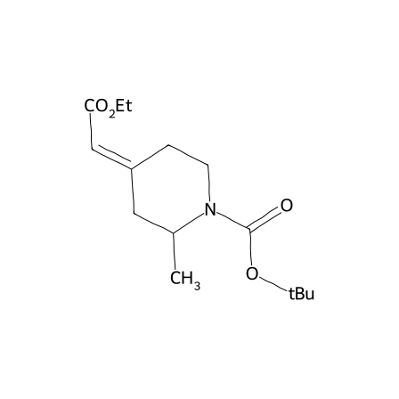 CCOC(=O)C=C1CCN(C(=O)OC(C)(C)C)C(C)C1